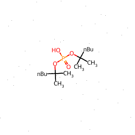 CCCCC(C)(C)OP(=O)(O)OC(C)(C)CCCC